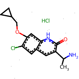 CC(N)c1cc2cc(Cl)c(OCC3CC3)cc2[nH]c1=O.Cl